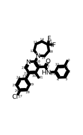 Cc1cccc(NC(=O)c2c(N3CCCC(F)(F)CC3)ncc(-c3ccc(Cl)cc3)c2C)c1